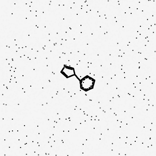 C1=CC(c2ccccc2)C=N1